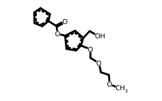 COCCOCOc1ccc(OC(=O)c2ccccc2)cc1CO